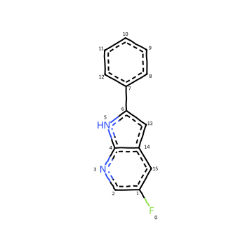 Fc1cnc2[nH]c(-c3ccccc3)cc2c1